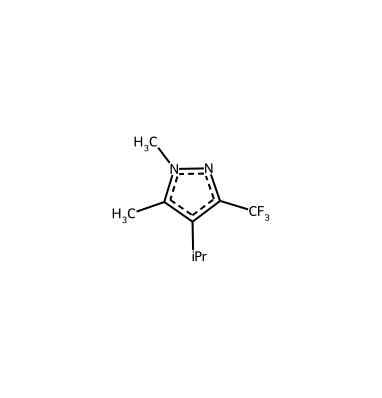 Cc1c(C(C)C)c(C(F)(F)F)nn1C